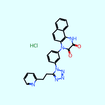 Cl.O=c1[nH]c2c3ccccc3ccc2n(-c2cccc(-n3nnnc3CCc3ccccn3)c2)c1=O